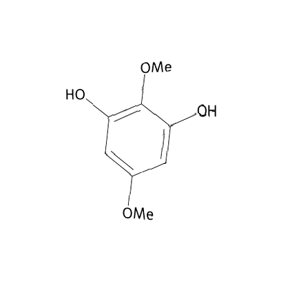 COc1cc(O)c(OC)c(O)c1